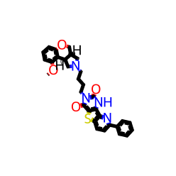 COc1cccc2c1[C@@H]1CN(CCCCn3c(=O)[nH]c4c(sc5ccc(-c6ccccc6)nc54)c3=O)C[C@H]1CO2